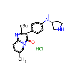 CCCCc1nc2ccc(C)cn2c(=O)c1-c1ccc(N[C@@H]2CCNC2)cc1.Cl